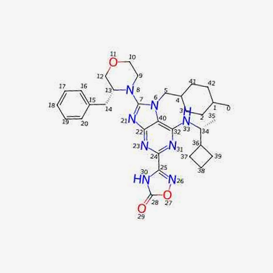 CC1CCC(Cn2c(N3CCOC[C@H]3Cc3ccccc3)nc3nc(-c4noc(=O)[nH]4)nc(N[C@H](C)C4CCC4)c32)CC1